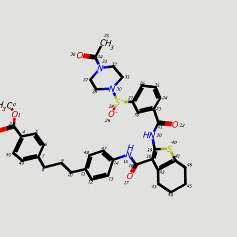 COC(=O)c1ccc(CCCc2ccc(NC(=O)c3c(NC(=O)c4cccc([S+]([O-])N5CCN(C(C)=O)CC5)c4)sc4c3CCCC4)cc2)cc1